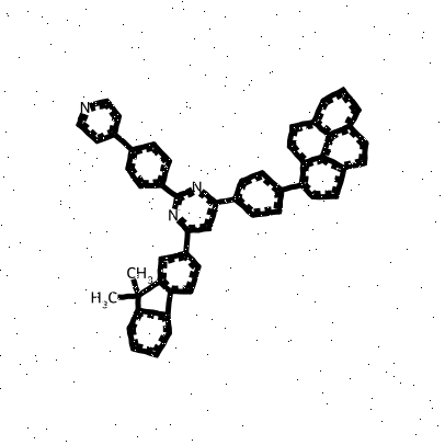 CC1(C)c2ccccc2-c2ccc(-c3cc(-c4ccc(-c5ccc6ccc7cccc8ccc5c6c78)cc4)nc(-c4ccc(-c5ccncc5)cc4)n3)cc21